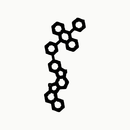 c1ccc(-c2c3ccccc3c(-c3cccc(-c4ccc5c(c4)sc4ccc6c(oc7ccc8ccccc8c76)c45)c3)c3ccccc23)cc1